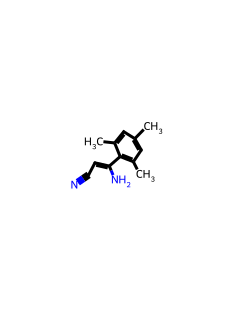 Cc1cc(C)c(C(N)=CC#N)c(C)c1